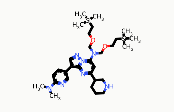 CN(C)c1ccc(-c2cnn3c(N(COCC[Si](C)(C)C)COCC[Si](C)(C)C)cc(C4CCCNC4)nc23)cn1